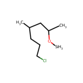 CC(CCCCl)CC(C)O[SiH3]